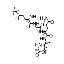 C[C@H](NC(=O)[C@H](C)NC(=O)[C@H](CCC(N)=O)NC(=O)CNC(=O)[C@@H](N)CCC(=O)OC(C)(C)C)C(=O)O